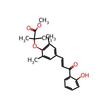 COC(=O)C(C)(C)Oc1c(C)cc(/C=C/C(=O)c2ccccc2O)cc1C